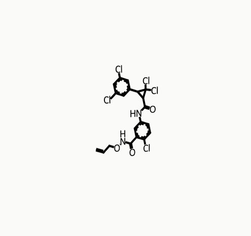 C=CCONC(=O)c1cc(NC(=O)C2C(c3cc(Cl)cc(Cl)c3)C2(Cl)Cl)ccc1Cl